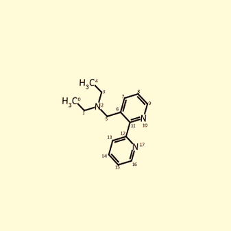 CCN(CC)Cc1cccnc1-c1ccccn1